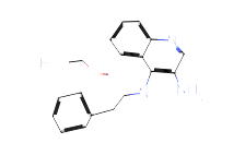 CCOC[C@@H](Cc1ccccc1)Nc1c(N)cnc2ccccc12